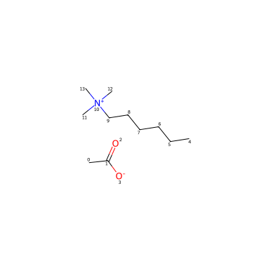 CC(=O)[O-].CCCCCC[N+](C)(C)C